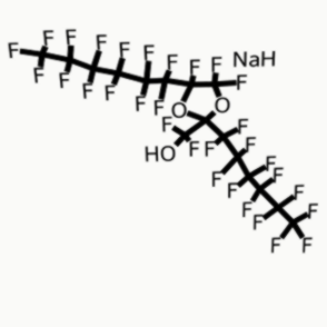 OC(F)(F)C1(C(F)(F)C(F)(F)C(F)(F)C(F)(F)C(F)(F)C(F)(F)F)OC(F)(F)C(F)(C(F)(F)C(F)(F)C(F)(F)C(F)(F)C(F)(F)C(F)(F)F)O1.[NaH]